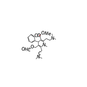 COC(=O)C1=C(CCN(C)C)N(C)C(CCN(C)C)=C(COC=O)C1c1ccccc1Cl